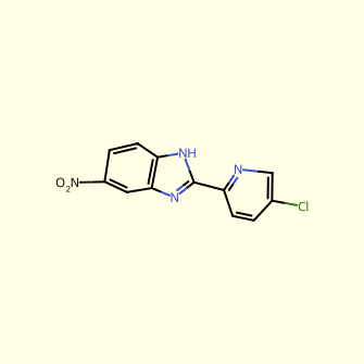 O=[N+]([O-])c1ccc2[nH]c(-c3ccc(Cl)cn3)nc2c1